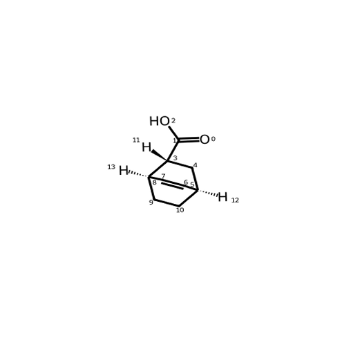 O=C(O)[C@@H]1C[C@@H]2C=C[C@H]1CC2